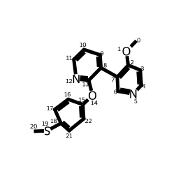 COc1ccncc1-c1cccnc1Oc1ccc(SC)cc1